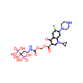 O=C(NCCC(O)(P(=O)(O)O)P(=O)(O)O)OCOC(=O)c1cn(C2CC2)c2cc(N3CCNCC3)c(F)cc2c1=O